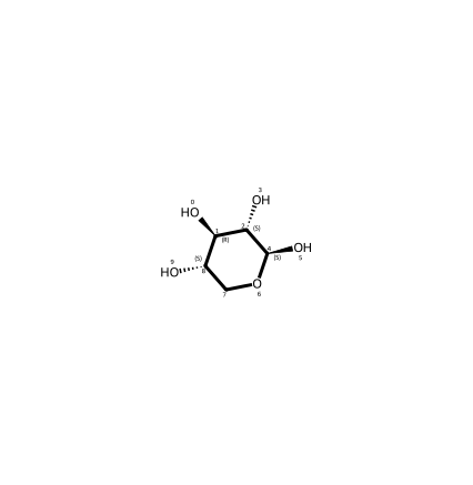 O[C@H]1[C@H](O)[C@@H](O)OC[C@@H]1O